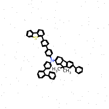 CC1(C)c2cc(-c3ccccc3)ccc2-c2ccc(N(c3ccc(-c4ccc(-c5cccc6c5sc5ccccc56)cc4)cc3)c3ccc(-c4ccccc4-c4ccccc4)cc3)cc21